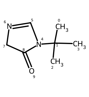 CC(C)(C)N1C=NCC1=O